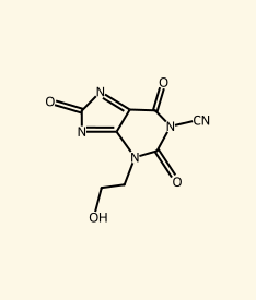 N#Cn1c(=O)c2c(n(CCO)c1=O)=NC(=O)N=2